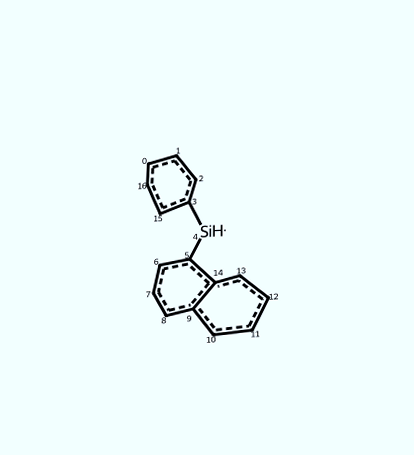 c1ccc([SiH]c2cccc3ccccc23)cc1